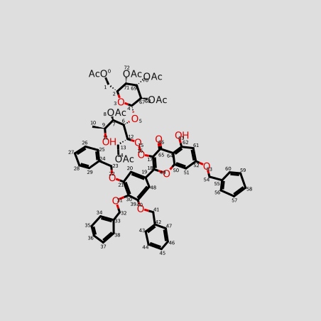 CC(=O)OC[C@H]1O[C@@H](O[C@@H]([C@H](OC(C)=O)[C@H](C)O)[C@@H](COC(C)=O)OOc2c(-c3cc(OCc4ccccc4)c(OCc4ccccc4)c(OCc4ccccc4)c3)oc3cc(OCc4ccccc4)cc(O)c3c2=O)[C@H](OC(C)=O)[C@@H](OC(C)=O)[C@H]1OC(C)=O